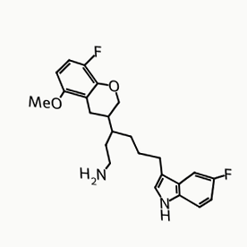 COc1ccc(F)c2c1CC(C(CCN)CCCc1c[nH]c3ccc(F)cc13)CO2